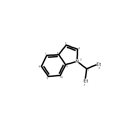 CCC(CC)n1ccc2ccccc21